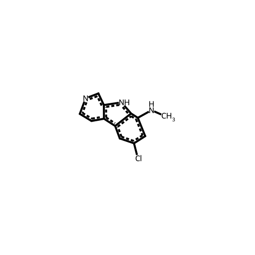 CNc1cc(Cl)cc2c1[nH]c1cnccc12